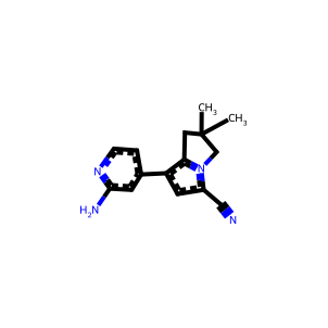 CC1(C)Cc2c(-c3ccnc(N)c3)cc(C#N)n2C1